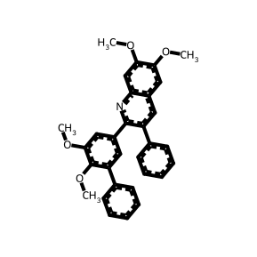 COc1cc2cc(-c3ccccc3)c(-c3cc(OC)c(OC)c(-c4ccccc4)c3)nc2cc1OC